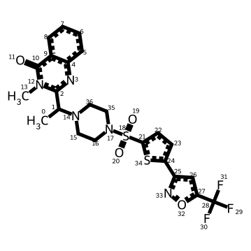 CC(c1nc2ccccc2c(=O)n1C)N1CCN(S(=O)(=O)c2ccc(-c3cc(C(F)(F)F)on3)s2)CC1